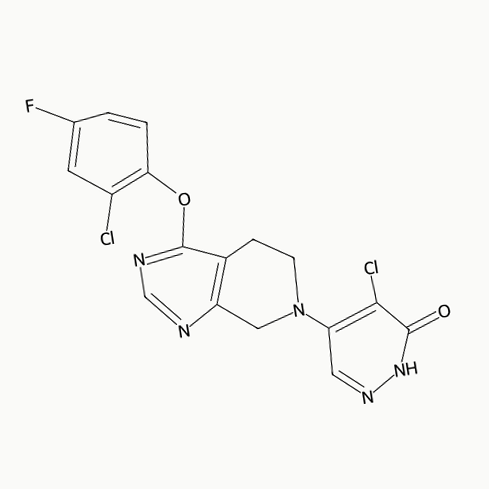 O=c1[nH]ncc(N2CCc3c(ncnc3Oc3ccc(F)cc3Cl)C2)c1Cl